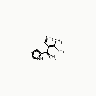 C=C/C(C(=C)c1ccc[nH]1)=C(\C)N